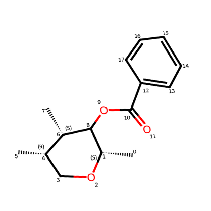 C[C@@H]1OC[C@H](C)[C@H](C)C1OC(=O)c1ccccc1